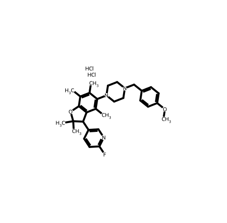 COc1ccc(CN2CCN(c3c(C)c(C)c4c(c3C)C(c3ccc(F)nc3)C(C)(C)O4)CC2)cc1.Cl.Cl